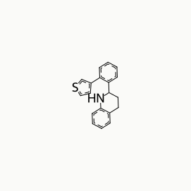 c1ccc2c(c1)CCC(c1ccccc1-c1ccsc1)N2